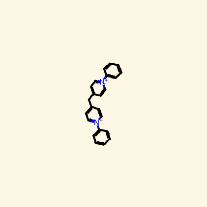 c1ccc(-[n+]2ccc(Cc3cc[n+](-c4ccccc4)cc3)cc2)cc1